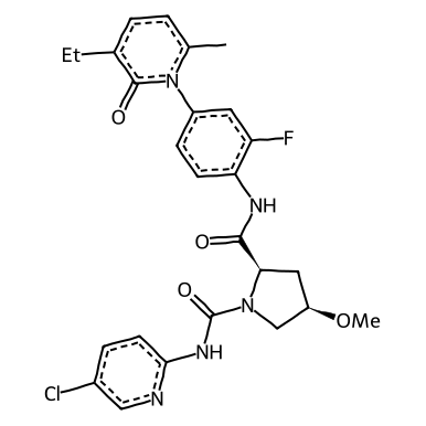 CCc1ccc(C)n(-c2ccc(NC(=O)[C@H]3C[C@@H](OC)CN3C(=O)Nc3ccc(Cl)cn3)c(F)c2)c1=O